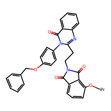 CC(C)Oc1cccc2c1C(=O)N(CCc1nc3ccccc3c(=O)n1-c1ccc(OCc3ccccc3)cc1)C2=O